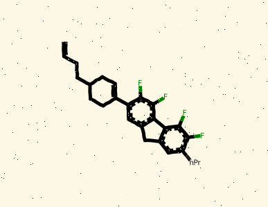 C=CCCC1CC=C(c2cc3c(c(F)c2F)-c2c(cc(CCC)c(F)c2F)C3)CC1